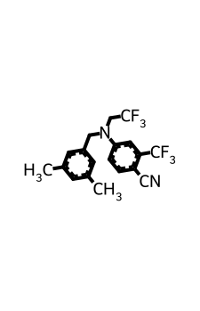 Cc1cc(C)cc(CN(CC(F)(F)F)c2ccc(C#N)c(C(F)(F)F)c2)c1